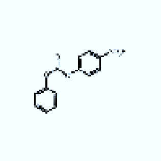 O=[PH](Oc1ccccc1)Oc1ccc(S(=O)(=O)O)cc1